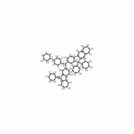 c1ccc(-c2ccc(N(c3ccc4c(c3)C(c3ccccc3)(c3ccccc3)c3cc5ccccc5cc3-4)c3ccc4c5ccccc5n(-c5ccccc5)c4c3)cc2)cc1